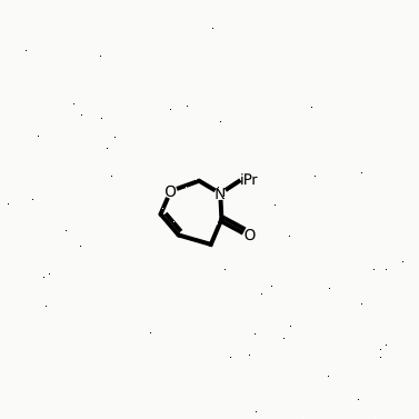 CC(C)N1COC=CCC1=O